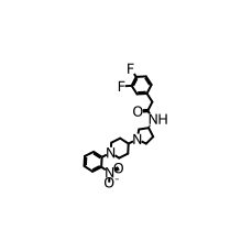 O=C(Cc1ccc(F)c(F)c1)N[C@@H]1CCN(C2CCN(c3ccccc3[N+](=O)[O-])CC2)C1